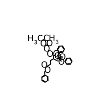 CC(C)OC(=O)OCOC(=O)C(CCC(=O)OCc1ccccc1)CP(=O)(Oc1ccccc1)Oc1ccccc1